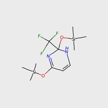 C[Si](C)(C)OC1=NC(O[Si](C)(C)C)(C(F)(F)F)NC=C1